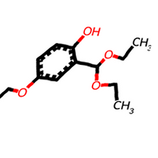 CCOc1ccc(O)c(C(OCC)OCC)c1